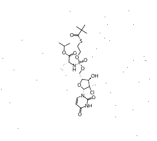 CC(C)OC(=O)[C@@H](C)N[P@@](=O)(OCCSC(=O)C(C)(C)C)OC[C@H]1O[C@@H](n2ccc(=O)[nH]c2=O)[C@](C)(Cl)[C@@H]1O